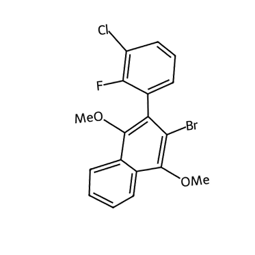 COc1c(Br)c(-c2cccc(Cl)c2F)c(OC)c2ccccc12